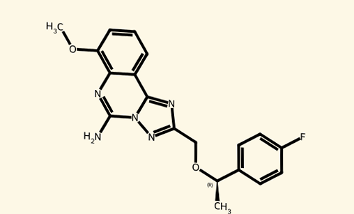 COc1cccc2c1nc(N)n1nc(CO[C@H](C)c3ccc(F)cc3)nc21